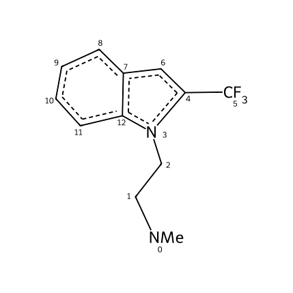 CNCCn1c(C(F)(F)F)cc2ccccc21